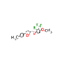 CCOc1ccc(OCC2CCC(c3ccc(C)cc3)OC2)c(F)c1C(F)F